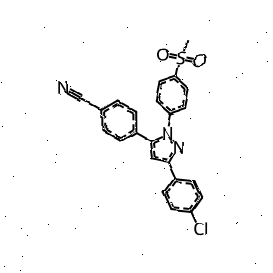 CS(=O)(=O)c1ccc(-n2nc(-c3ccc(Cl)cc3)cc2-c2ccc(C#N)cc2)cc1